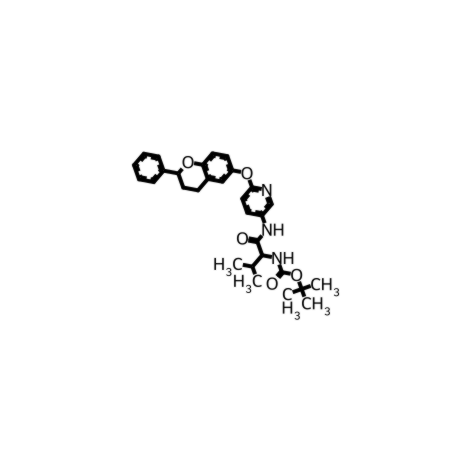 CC(C)C(NC(=O)OC(C)(C)C)C(=O)Nc1ccc(Oc2ccc3c(c2)CCC(c2ccccc2)O3)nc1